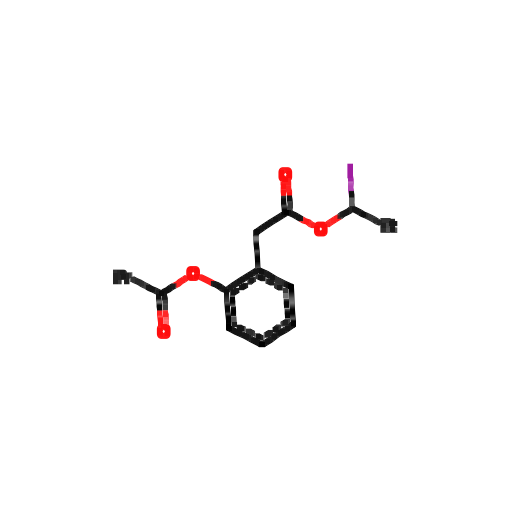 CCC(I)OC(=O)Cc1ccccc1OC(=O)C(C)C